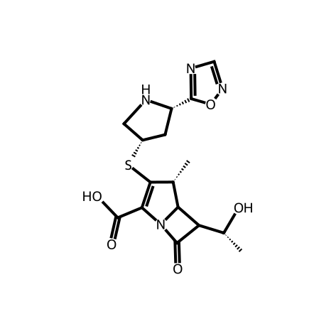 C[C@@H](O)C1C(=O)N2C(C(=O)O)=C(S[C@@H]3CN[C@H](c4ncno4)C3)[C@H](C)C12